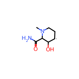 CN1CC[CH]C(O)C1C(N)=O